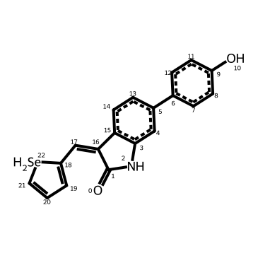 O=C1Nc2cc(-c3ccc(O)cc3)ccc2/C1=C/C1=CC=C[SeH2]1